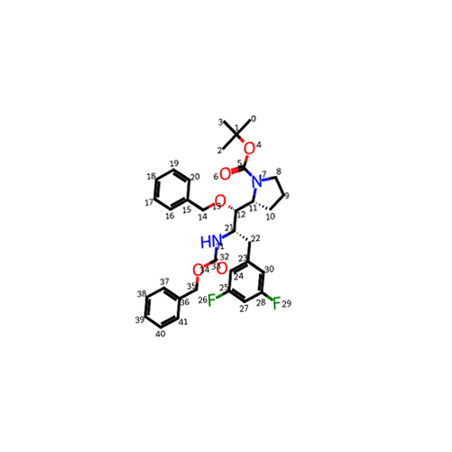 CC(C)(C)OC(=O)N1CCC[C@@H]1[C@@H](OCc1ccccc1)[C@H](Cc1cc(F)cc(F)c1)NC(=O)OCc1ccccc1